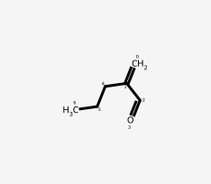 C=C([C]=O)CCC